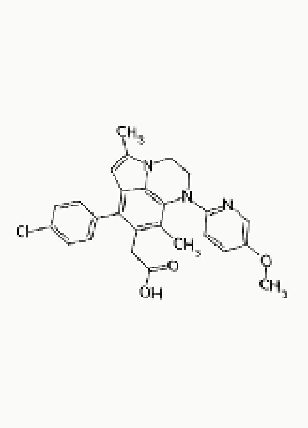 COc1ccc(N2CCn3c(C)cc4c(-c5ccc(Cl)cc5)c(CC(=O)O)c(C)c2c43)nc1